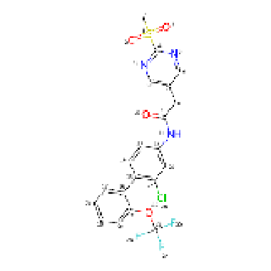 CS(=O)(=O)c1ncc(CC(=O)Nc2ccc(-c3ccccc3OC(F)(F)F)c(Cl)c2)cn1